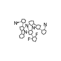 N#Cc1ccccc1-c1ccc2c3ccccc3n(-c3cc(-c4c(F)cccc4F)cc(-n4c5ccccc5c5ccc(-c6ccccc6C#N)cc54)c3C#N)c2c1